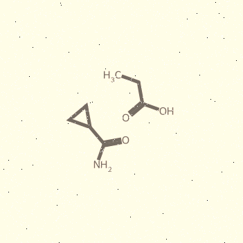 CCC(=O)O.NC(=O)C1CC1